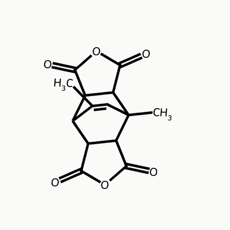 CC1=CC2(C)C3C(=O)OC(=O)C3C1C1C(=O)OC(=O)C12